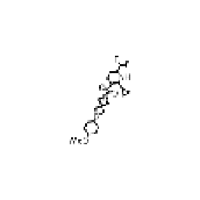 CO[C@H]1CC[C@@H](N2CC3(CN(S(=O)(=O)C4=C(C5CC5)NC(C(F)F)=CC4)C3)C2)CC1